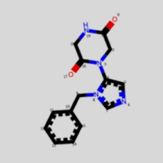 O=C1CN(c2cncn2Cc2ccccc2)C(=O)CN1